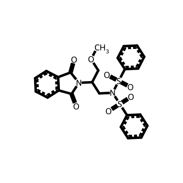 COCC(CN(S(=O)(=O)c1ccccc1)S(=O)(=O)c1ccccc1)N1C(=O)c2ccccc2C1=O